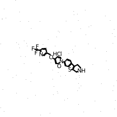 Cl.O=c1cc(OCc2ccc(C(F)(F)F)nc2)ccn1-c1ccc2c3c(sc2c1)CNCC3